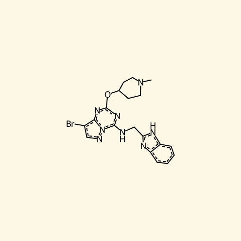 CN1CCC(Oc2nc(NCc3nc4ccccc4[nH]3)n3ncc(Br)c3n2)CC1